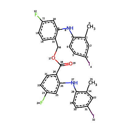 Cc1cc(I)ccc1Nc1cc(F)ccc1COC(=O)c1ccc(F)cc1Nc1ccc(I)cc1C